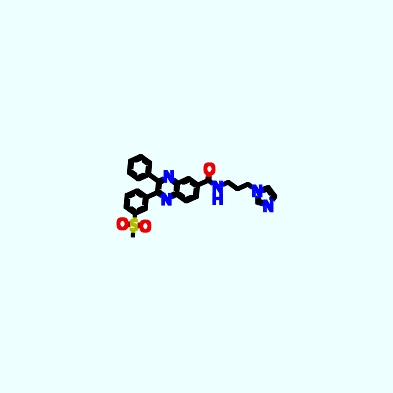 CS(=O)(=O)c1cccc(-c2nc3ccc(C(=O)NCCCn4ccnc4)cc3nc2-c2ccccc2)c1